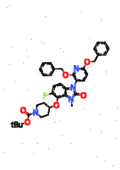 Cn1c(=O)n(-c2ccc(OCc3ccccc3)nc2OCc2ccccc2)c2ccc(F)c(OC3CCN(C(=O)OC(C)(C)C)CC3)c21